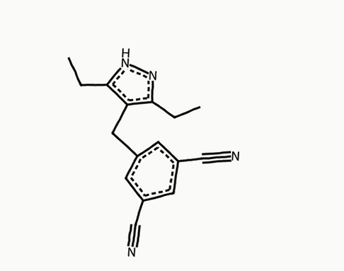 CCc1n[nH]c(CC)c1Cc1cc(C#N)cc(C#N)c1